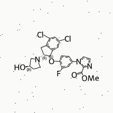 COC(=O)c1nccn1-c1ccc(O[C@H]2c3cc(Cl)cc(Cl)c3C[C@H]2N2CC[C@@H](O)C2)c(F)c1